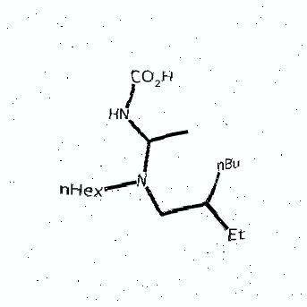 CCCCCCN(CC(CC)CCCC)C(C)NC(=O)O